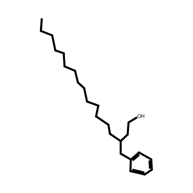 CCCCCCCCCCCCCCC(CCO)Cc1ccccc1